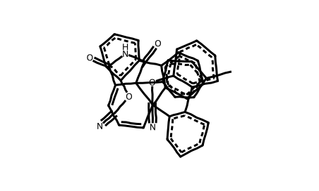 Cc1ccc(C23C(=O)NC(=O)C2=CC=CC3(c2ccccc2-c2ccccc2OC#N)c2ccccc2-c2ccccc2OC#N)cc1